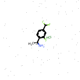 C[C@H](N)c1ccc(C(F)F)cc1F.Cl